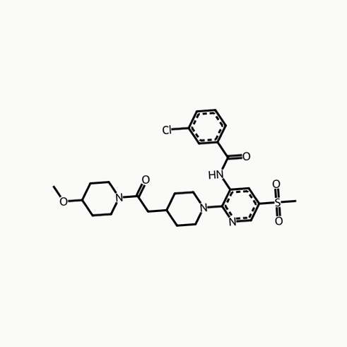 COC1CCN(C(=O)CC2CCN(c3ncc(S(C)(=O)=O)cc3NC(=O)c3cccc(Cl)c3)CC2)CC1